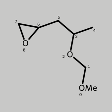 COCOC(C)CC1CO1